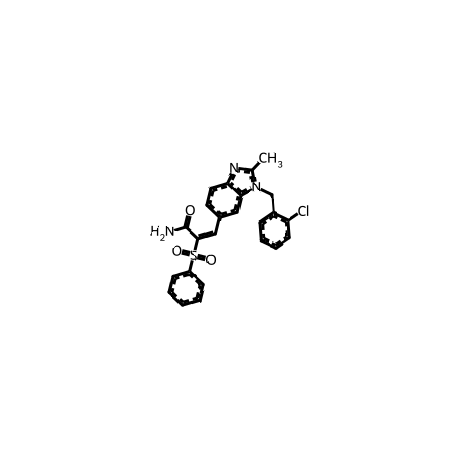 Cc1nc2ccc(/C=C(\C(N)=O)S(=O)(=O)c3ccccc3)cc2n1Cc1ccccc1Cl